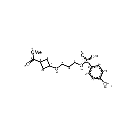 COC(=O)C1CC(OCCCOS(=O)(=O)c2ccc(C)cc2)C1